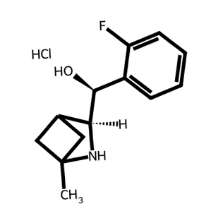 CC12CC(C1)[C@@H]([C@@H](O)c1ccccc1F)N2.Cl